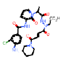 CC(C(=O)NN(CC(=O)O)C(=O)/C=C/C(=O)N1CCCCC1)n1cccc(NC(=O)c2ccc(N)c(Cl)c2)c1=O